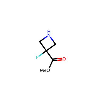 COC(=O)C1(F)CNC1